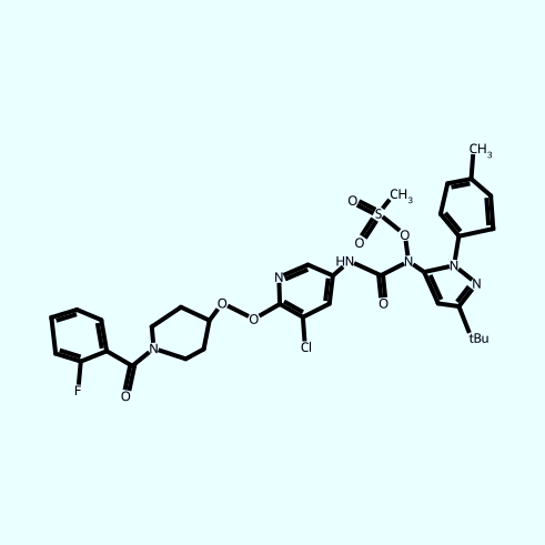 Cc1ccc(-n2nc(C(C)(C)C)cc2N(OS(C)(=O)=O)C(=O)Nc2cnc(OOC3CCN(C(=O)c4ccccc4F)CC3)c(Cl)c2)cc1